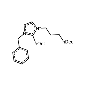 CCCCCCCCCCCCC[n+]1ccn(Cc2ccccc2)c1CCCCCCCC